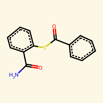 NC(=O)c1ccccc1SC(=O)c1ccccc1